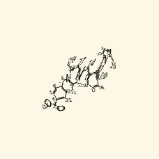 COC(=O)c1ccc(CN2[C@H](C)CN(Cc3ccccc3-n3ccnc3C)C[C@@H]2C)cc1